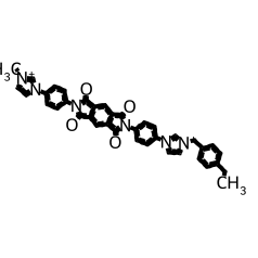 CCc1ccc(C[n+]2ccn(-c3ccc(-n4c(=O)c5cc6c(=O)n(-c7ccc(-n8cc[n+](C)c8)cc7)c(=O)c6cc5c4=O)cc3)c2)cc1